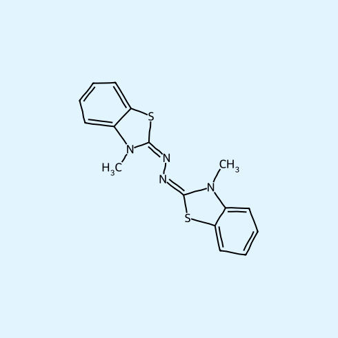 Cn1/c(=N\N=c2\sc3ccccc3n2C)sc2ccccc21